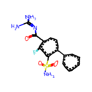 NC(N)=NC(=O)c1ccc(-c2ccccc2)c(S(N)(=O)=O)c1F